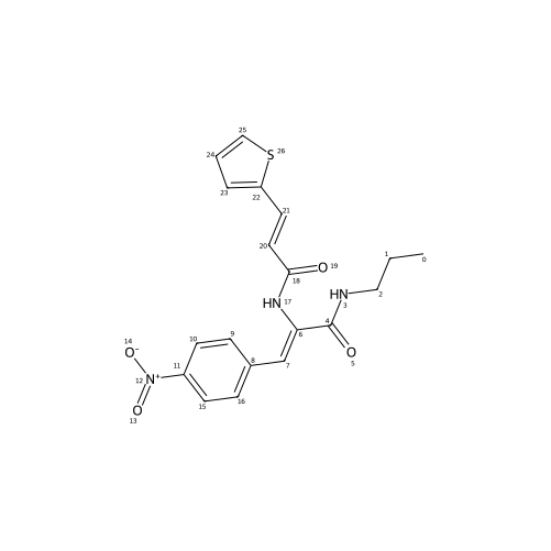 CCCNC(=O)/C(=C/c1ccc([N+](=O)[O-])cc1)NC(=O)/C=C/c1cccs1